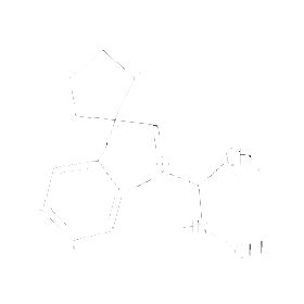 CNC(C)C1=CC2(CCCC2)c2ccccc21